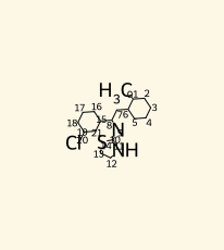 CC1CCCCC1CC(/N=C1/NCCS1)C1CCCC(Cl)C1